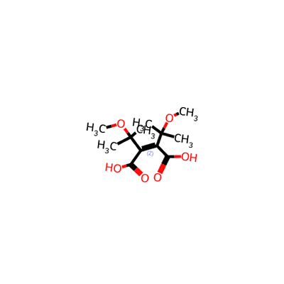 COC(C)(C)/C(C(=O)O)=C(/C(=O)O)C(C)(C)OC